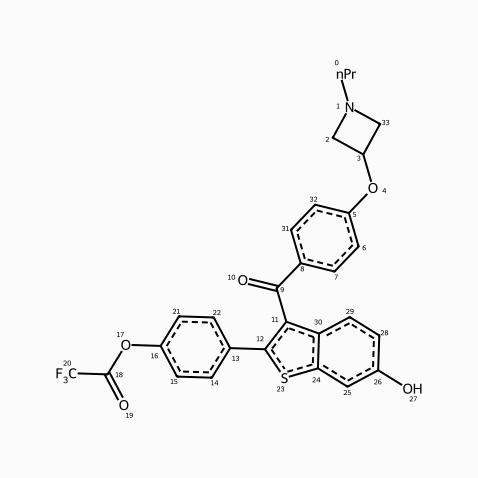 CCCN1CC(Oc2ccc(C(=O)c3c(-c4ccc(OC(=O)C(F)(F)F)cc4)sc4cc(O)ccc34)cc2)C1